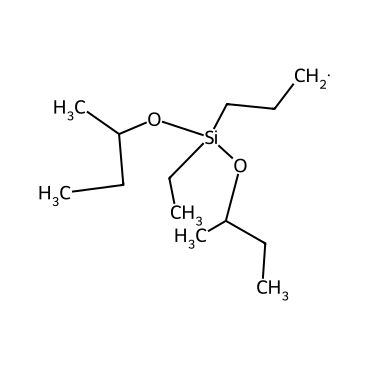 [CH2]CC[Si](CC)(OC(C)CC)OC(C)CC